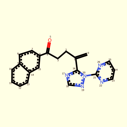 C=C(CCC(=O)c1ccc2ccccc2c1)c1ncnn1-c1ncccn1